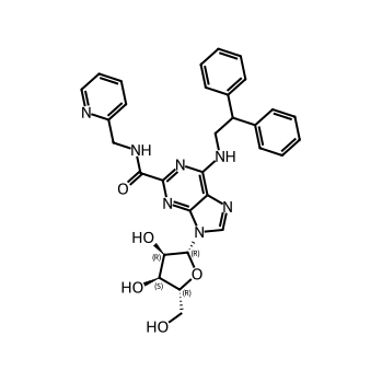 O=C(NCc1ccccn1)c1nc(NCC(c2ccccc2)c2ccccc2)c2ncn([C@@H]3O[C@H](CO)[C@@H](O)[C@H]3O)c2n1